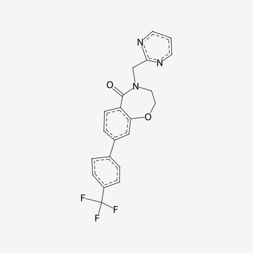 O=C1c2ccc(-c3ccc(C(F)(F)F)cc3)cc2OCCN1Cc1ncccn1